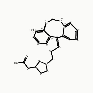 Cl.O=C(O)CC1CCN(CCC=C2c3ccccc3OCOc3ccccc32)C1